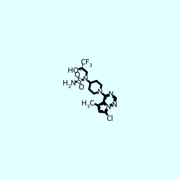 Cc1cc(Cl)n2ncnc(N3CCC(N(C[C@H](O)C(F)(F)F)S(N)(=O)=O)CC3)c12